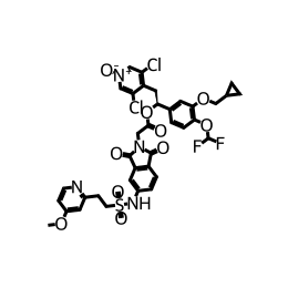 COc1ccnc(CCS(=O)(=O)Nc2ccc3c(c2)C(=O)N(CC(=O)O[C@@H](Cc2c(Cl)c[n+]([O-])cc2Cl)c2ccc(OC(F)F)c(OCC4CC4)c2)C3=O)c1